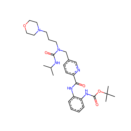 CC(C)NC(=O)N(CCCN1CCOCC1)Cc1ccc(C(=O)Nc2ccccc2NC(=O)OC(C)(C)C)nc1